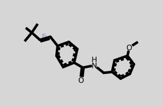 COc1cccc(CNC(=O)c2ccc(/C=C/C(C)(C)C)cc2)c1